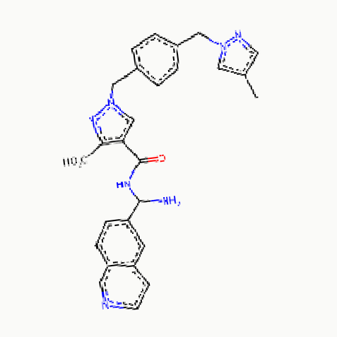 Cc1cnn(Cc2ccc(Cn3cc(C(=O)NC(N)c4ccc5cnccc5c4)c(C(=O)O)n3)cc2)c1